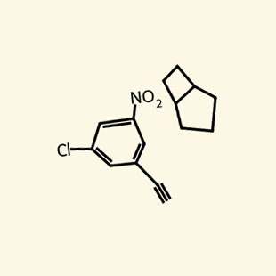 C#Cc1cc(Cl)cc([N+](=O)[O-])c1.C1CC2CCC2C1